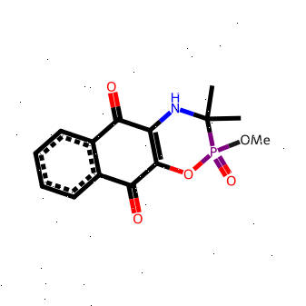 COP1(=O)OC2=C(NC1(C)C)C(=O)c1ccccc1C2=O